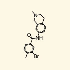 Cc1ccc(C(=O)Nc2ccc3c(c2)CN(C)CC3)cc1Br